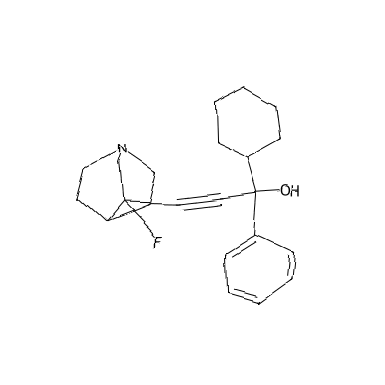 OC(C#CC1(F)CN2CCC1CC2)(c1ccccc1)C1CCCCC1